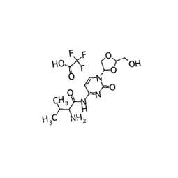 CC(C)C(N)C(=O)Nc1ccn(C2COC(CO)O2)c(=O)n1.O=C(O)C(F)(F)F